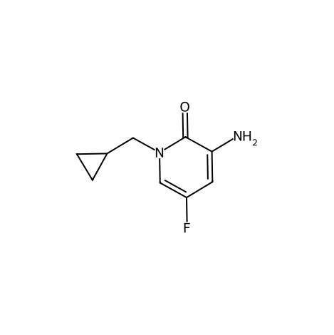 Nc1cc(F)cn(CC2CC2)c1=O